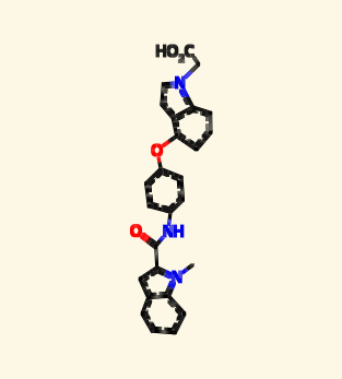 Cn1c(C(=O)Nc2ccc(Oc3cccc4c3ccn4CC(=O)O)cc2)cc2ccccc21